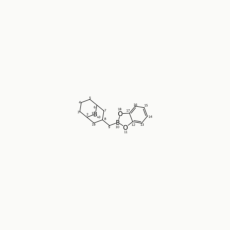 CB1C2CCCC1CC(CB1Oc3ccccc3O1)C2